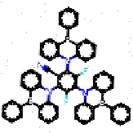 N#Cc1c(N2c3ccccc3B(c3ccccc3)c3ccccc32)c(F)c(N2c3ccccc3B(c3ccccc3)c3ccccc32)c(F)c1N1c2ccccc2B(c2ccccc2)c2ccccc21